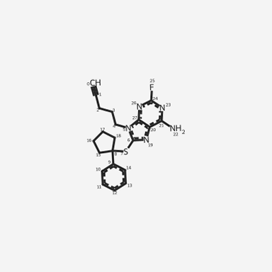 C#CCCCn1c(SC2(c3ccccc3)CCCC2)nc2c(N)nc(F)nc21